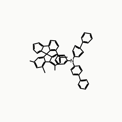 Cc1cc(C)c2c(c1)C1(c3ccccc3-c3cccc(-c4cccc(N(c5ccc(-c6ccccc6)cc5)c5ccc(-c6ccccc6)cc5)c4)c31)c1cc(C)cc(C)c1-2